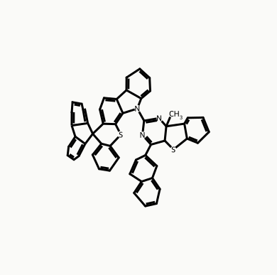 CC12N=C(n3c4ccccc4c4ccc5c(c43)Sc3ccccc3C53c4ccccc4-c4ccccc43)N=C(c3ccc4ccccc4c3)C1Sc1ccccc12